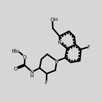 CC(C)(C)OC(=O)NC1CCN(c2ccc(F)c3ccc(CO)nc23)CC1F